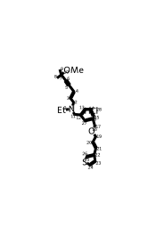 CCN(CC=CC#CC(C)(C)OC)Cc1cccc(COCC=Cc2ccsc2)c1.Cl